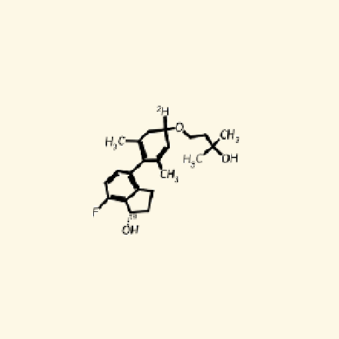 [2H]C1(OCCC(C)(C)O)C=C(C)C(c2ccc(F)c3c2CC[C@@H]3O)=C(C)C1